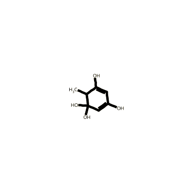 CC1C(O)=CC(O)=CC1(O)O